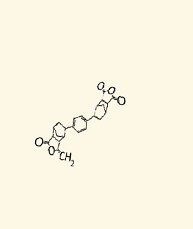 C=C1OC(=O)C2C3CC(c4ccc(C5CC6CC5C5C(=O)OC(=O)C65)cc4)C(C3)C12